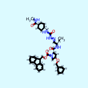 CC[C@@H](/C=N/NC(=O)NC[C@H]1CC[C@H](C(=O)NC)CC1)NC(=O)[C@@H]1C[C@@H](OCc2ccccc2)CN1C(=O)OCC1c2ccccc2-c2ccccc21